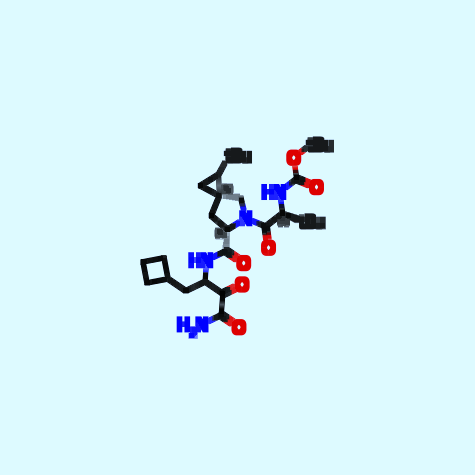 CC(C)(C)OC(=O)N[C@H](C(=O)N1C[C@@]2(CC2C(C)(C)C)C[C@H]1C(=O)NC(CC1CCC1)C(=O)C(N)=O)C(C)(C)C